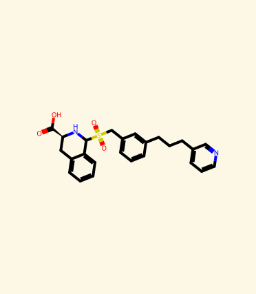 O=C(O)[C@@H]1Cc2ccccc2C(S(=O)(=O)Cc2cccc(CCCc3cccnc3)c2)N1